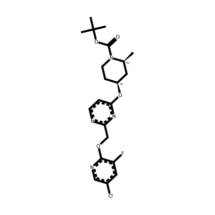 C[C@H]1C[C@@H](Oc2ccnc(COc3ncc(Cl)cc3F)n2)CCN1C(=O)OC(C)(C)C